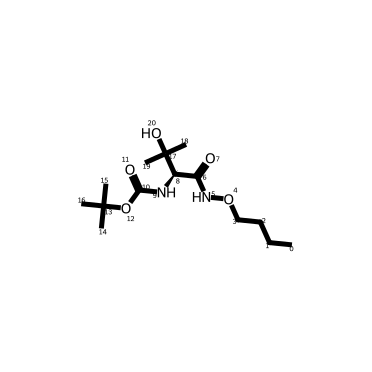 CCCCONC(=O)[C@@H](NC(=O)OC(C)(C)C)C(C)(C)O